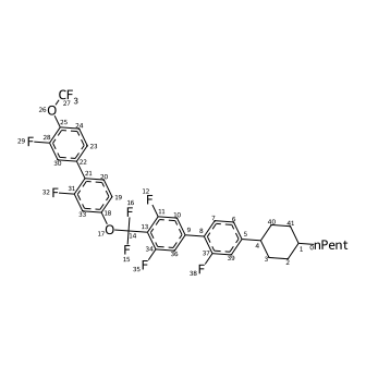 CCCCCC1CCC(c2ccc(-c3cc(F)c(C(F)(F)Oc4ccc(-c5ccc(OC(F)(F)F)c(F)c5)c(F)c4)c(F)c3)c(F)c2)CC1